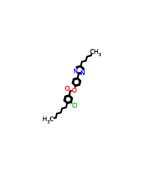 CCCCCCc1ccc(C(=O)Oc2ccc(-c3ncc(CCCCC)cn3)cc2)cc1Cl